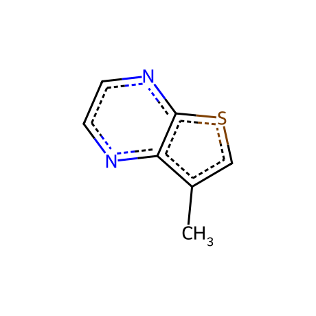 Cc1csc2nccnc12